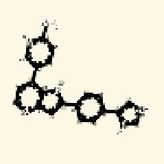 Nc1ccc(-c2ccnc3cc(-c4ccc(-c5c[nH]cn5)cc4)oc23)cn1